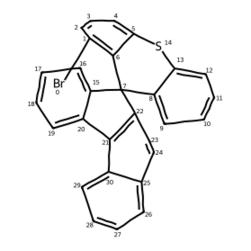 Brc1cccc2c1C1(c3ccccc3S2)c2ccccc2-c2c1ccc1ccccc21